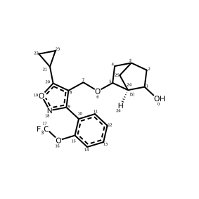 OC1CC2CC(OCc3c(-c4ccccc4OC(F)(F)F)noc3C3CC3)[C@H]1C2